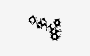 CC(Nc1ncnc2c1ncn2[C@@H]1CCCCO1)c1cc2cccc(Cl)c2c(=O)n1-c1ccccc1